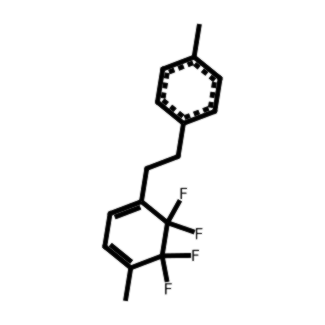 CC1=CC=C(CCc2ccc(C)cc2)C(F)(F)C1(F)F